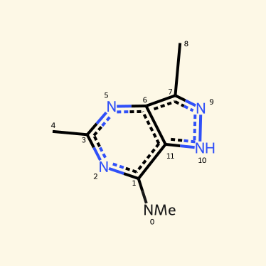 CNc1nc(C)nc2c(C)n[nH]c12